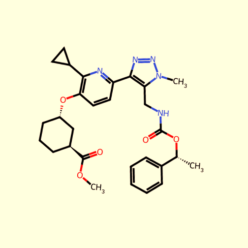 COC(=O)[C@H]1CCC[C@H](Oc2ccc(-c3nnn(C)c3CNC(=O)O[C@H](C)c3ccccc3)nc2C2CC2)C1